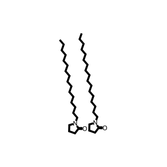 CCCCCCCCCCCCCCCCCN1CCCC1=O.CCCCCCCCCCCCCCCCN1CCCC1=O